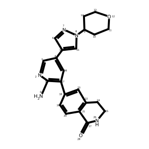 Nc1ncc(-c2cnn(C3CCOCC3)c2)cc1-c1ccc2c(c1)CCNC2=O